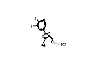 O=COCc1nc(-c2ccc(F)c(F)c2)oc1C1CC1